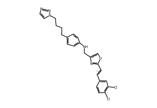 Clc1ccc(/C=C/c2nc(CNc3ccc(CCCCn4ccnn4)cc3)co2)cc1Cl